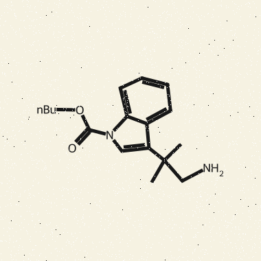 CCCCOC(=O)n1cc(C(C)(C)CN)c2ccccc21